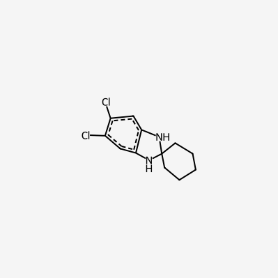 Clc1cc2c(cc1Cl)NC1(CCCCC1)N2